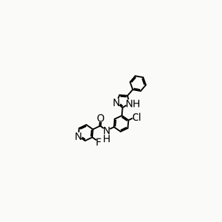 O=C(Nc1ccc(Cl)c(-c2ncc(-c3ccccc3)[nH]2)c1)c1ccncc1F